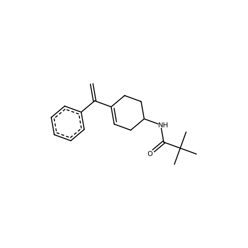 C=C(C1=CCC(NC(=O)C(C)(C)C)CC1)c1ccccc1